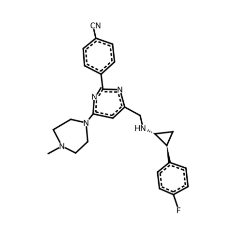 CN1CCN(c2cc(CN[C@@H]3C[C@H]3c3ccc(F)cc3)nc(-c3ccc(C#N)cc3)n2)CC1